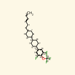 C=C/C=C/CCC1CCC(C2CCC(c3cc(F)c(OC(F)(F)F)c(F)c3)CC2)CC1